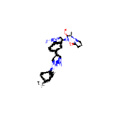 C[C@H](C(=O)Nc1c[nH]c2ccc(-c3cnn(-c4ccc(C(F)(F)F)cc4)c3)cc12)N1CCCC1=O